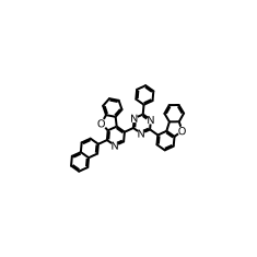 C1=CC2Oc3cccc(-c4nc(-c5ccccc5)nc(-c5cnc(-c6ccc7ccccc7c6)c6oc7ccccc7c56)n4)c3C2C=C1